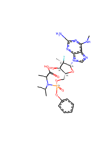 CNc1nc(N)nc2c1ncn2[C@@H]1O[C@H](CO[P@](=O)(Oc2ccccc2)N(C(C)C)C(C)C(=O)O)[C@@H](O)[C@@]1(C)F